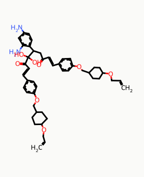 C=CCOC1CCC(COc2ccc(/C=C/C(=O)CC(c3ccc(N)cc3N)C(O)(O)C(=O)/C=C/c3ccc(OCC4CCC(OCC=C)CC4)cc3)cc2)CC1